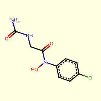 NC(=O)NCC(=O)N(O)c1ccc(Cl)cc1